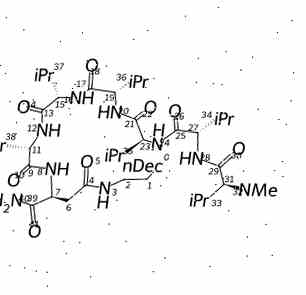 CCCCCCCCCCCCNC(=O)C[C@H](NC(=O)[C@@H](NC(=O)[C@@H](NC(=O)[C@@H](NC(=O)[C@@H](NC(=O)[C@@H](NC(=O)[C@@H](NC)C(C)C)C(C)C)C(C)C)C(C)C)C(C)C)C(C)C)C(N)=O